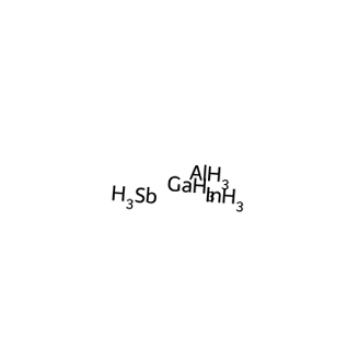 [AlH3].[GaH3].[InH3].[SbH3]